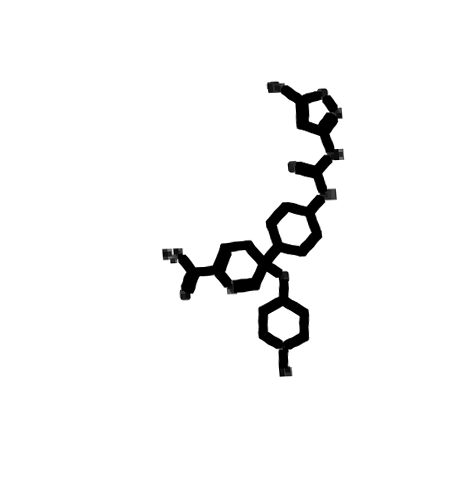 CCN1CCC(OC2(C3CCC(NC(=O)Nc4cc(C(C)(C)C)on4)CC3)C=NC(C(N)=O)=CC2)CC1